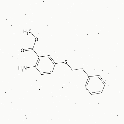 COC(=O)c1cc(SCCc2ccccc2)ccc1N